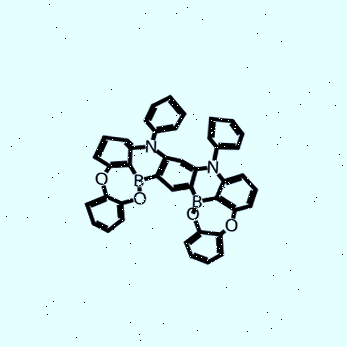 c1ccc(N2c3cc4c(cc3B3Oc5ccccc5Oc5cccc2c53)B2Oc3ccccc3Oc3cccc(c32)N4c2ccccc2)cc1